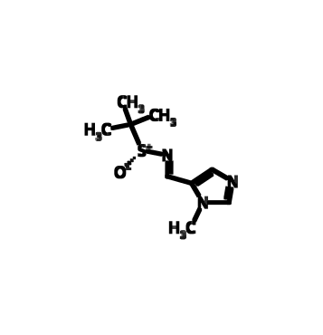 Cn1cncc1/C=N/[S@+]([O-])C(C)(C)C